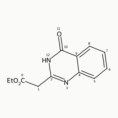 CCOC(=O)Cc1nc2ccccc2c(=O)[nH]1